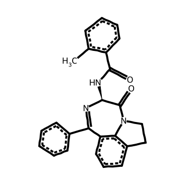 Cc1ccccc1C(=O)N[C@@H]1N=C(c2ccccc2)c2cccc3c2N(CC3)C1=O